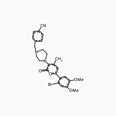 COc1cc(Br)c(-c2cc(C)c(N3CCN(Cc4ccc(C#N)cc4)CC3)c(=O)o2)cc1OC